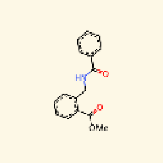 COC(=O)c1ccccc1CNC(=O)c1ccccc1